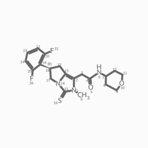 Cn1c(CC(=O)NC2CCOCC2)c2n(c1=S)C[C@@H](c1c(F)cccc1F)C2